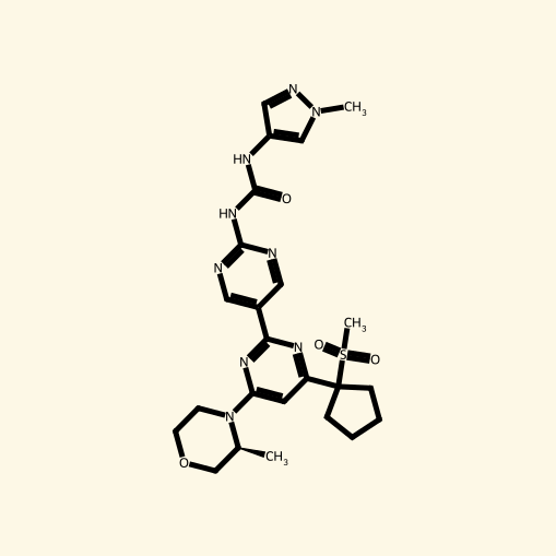 C[C@H]1COCCN1c1cc(C2(S(C)(=O)=O)CCCC2)nc(-c2cnc(NC(=O)Nc3cnn(C)c3)nc2)n1